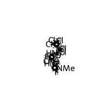 CNc1c(F)ccc(NC(=O)c2cc(NC(=O)C3[C@H](c4cc(Cl)c(Cl)c(Cl)c4)C3(Cl)Cl)cc(F)c2Cl)c1F